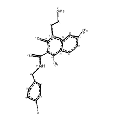 COCCn1c(=O)c(C(=O)NCc2ccc(F)cc2)c(C)c2ccc(C(F)(F)F)cc21